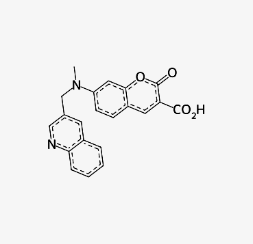 CN(Cc1cnc2ccccc2c1)c1ccc2cc(C(=O)O)c(=O)oc2c1